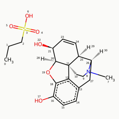 CCCS(=O)(=O)O.CN1CC[C@]23c4c5ccc(O)c4O[C@H]2[C@@H](O)C=C[C@H]3[C@H]1C5